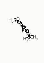 C=CC(=O)O/C=C\Oc1ccc(-c2ccc(OC(=O)C(=C)C)cc2)c(F)c1